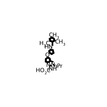 CCCN1Cc2cc(Oc3cccc(NCc4c(C)cc(C)cc4C)c3)ccc2N=C1NC(=O)O